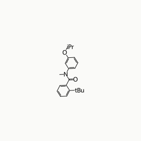 CC(C)Oc1cccc(N(C)C(=O)c2ccccc2C(C)(C)C)c1